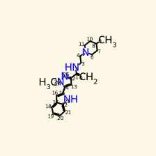 C=C(NCCN1CCC(C)CC1)c1cc(-c2cc3ccccc3[nH]2)n(C)n1